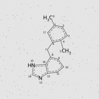 Cc1ccc(C)c(Cc2cccc3n[c][nH]c23)c1